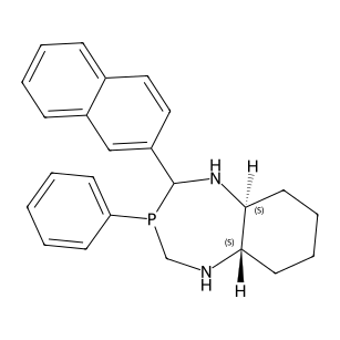 c1ccc(P2CN[C@H]3CCCC[C@@H]3NC2c2ccc3ccccc3c2)cc1